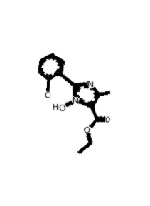 CCOC(=O)c1c(C)nc(-c2ccccc2Cl)n1O